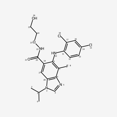 CC(C)n1cnc2c(F)c(Nc3ccc(Cl)cc3Cl)c(C(=O)NOCCO)cc21